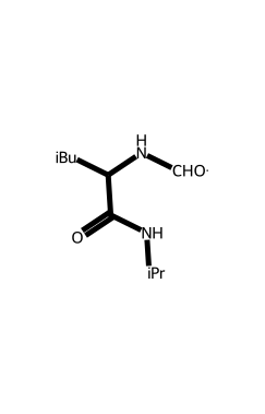 CCC(C)C(N[C]=O)C(=O)NC(C)C